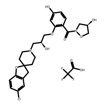 O=C(O)C(F)(F)F.O=C(c1ccc(O)cc1OC[C@@H](O)CN1CCC2(CC1)Cc1cc(Cl)ccc1O2)N1C[C@@H](O)CO1